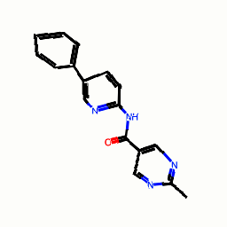 Cc1ncc(C(=O)Nc2ccc(-c3ccccc3)cn2)cn1